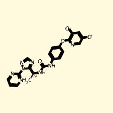 C[C@H](NC(=O)Nc1ccc(Oc2ncc(Cl)cc2Cl)cc1)c1ncnn1-c1ncccn1